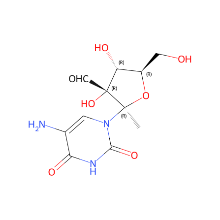 C[C@@]1(n2cc(N)c(=O)[nH]c2=O)O[C@H](CO)[C@@H](O)[C@]1(O)C=O